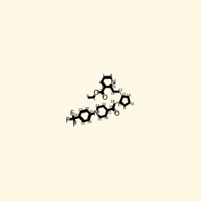 CCOC(=O)c1cccnc1CC[C@@H]1CCC[C@@H]1CC(=O)C1CCN(c2ccc(C(F)(F)F)cc2)CC1